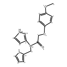 COc1ccc(OCC(=O)N(Cc2cccs2)c2cc[nH]n2)cc1